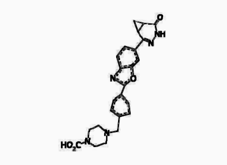 O=C1NN=C(c2ccc3nc(-c4ccc(CN5CCN(C(=O)O)CC5)cc4)oc3c2)C2CC12